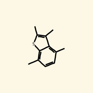 Cc1sc2c(C)ccc(C)c2c1C